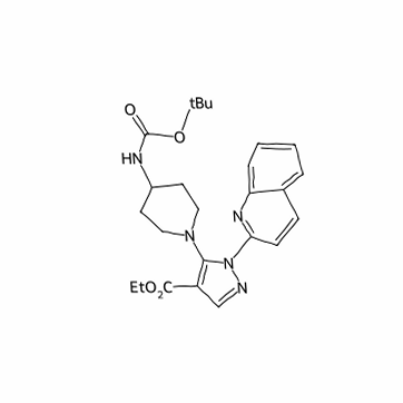 CCOC(=O)c1cnn(-c2ccc3ccccc3n2)c1N1CCC(NC(=O)OC(C)(C)C)CC1